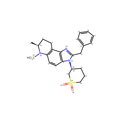 C[C@H]1CCc2c(ccc3c2nc(Cc2ccccc2)n3[C@H]2CCCS(=O)(=O)C2)N1C(=O)O